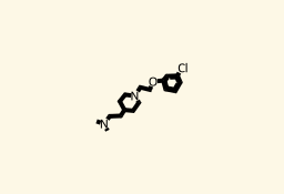 CN(C)CCC1CCN(CCOc2cccc(Cl)c2)CC1